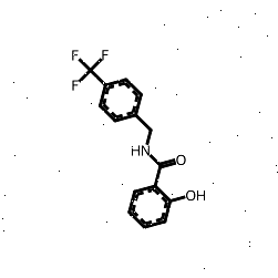 O=C(NCc1ccc(C(F)(F)F)cc1)c1ccccc1O